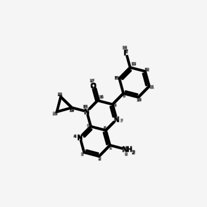 Nc1ccnc2c1nc(-c1cccc(F)c1)c(=O)n2C1CC1